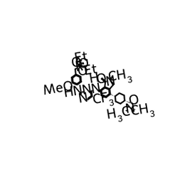 CCOP(=O)(Cc1ccc(Nc2ncc(C(F)(F)F)c(Nc3ccc([C@H]4CC[C@@H](C(=O)N(C)C)CC4)c4c3C(=O)N(C)C4)n2)c(OC)c1)OCC